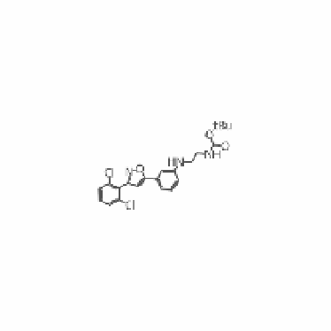 CC(C)(C)OC(=O)NCCNc1cccc(-c2cc(-c3c(Cl)cccc3Cl)no2)c1